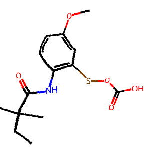 CCC(C)(C)C(=O)Nc1ccc(OC)cc1SOC(=O)O